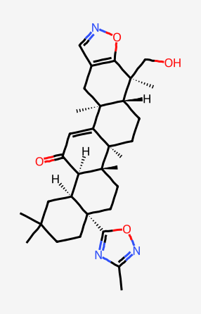 Cc1noc([C@]23CCC(C)(C)C[C@H]2[C@H]2C(=O)C=C4[C@@]5(C)Cc6cnoc6[C@@](C)(CO)[C@@H]5CC[C@@]4(C)[C@]2(C)CC3)n1